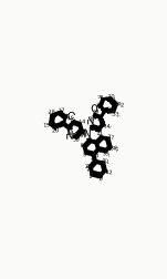 c1ccc(-c2ccc(N(c3cnc4c(c3)oc3ccccc34)c3ccc4c(n3)oc3ccccc34)c3ccccc23)cc1